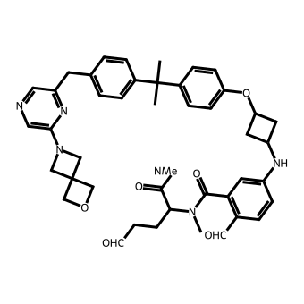 CNC(=O)C(CCC=O)N(C)C(=O)c1cc(NC2CC(Oc3ccc(C(C)(C)c4ccc(Cc5cncc(N6CC7(COC7)C6)n5)cc4)cc3)C2)ccc1C=O